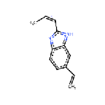 C=Cc1ccc2nc(/C=C\C)[nH]c2c1